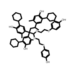 Cc1cc(O)c(C2CCCCC2)cc1C(C)CC(c1cc(C2CCCCC2)c(O)cc1C)(c1cc(C2CCCCC2)c(O)cc1C)C(OCCSc1ccc(O)cc1)OCCSc1ccc(O)cc1